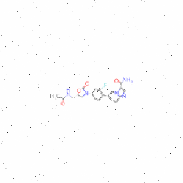 CC(=O)NC[C@H]1CN(c2ccc(-c3ccc4ncc(C(N)=O)n4c3)c(F)c2)C(=O)O1